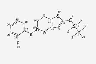 CC(C)(C)[Si](C)(C)Oc1cc2c(s1)CCN(Cc1ccccc1F)C2